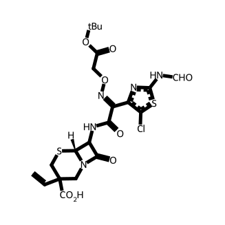 C=CC1(C(=O)O)CS[C@@H]2C(NC(=O)C(=NOCC(=O)OC(C)(C)C)c3nc(NC=O)sc3Cl)C(=O)N2C1